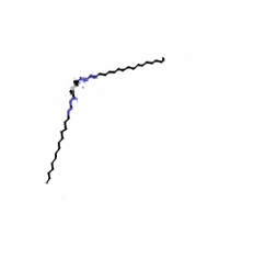 CC(/C=C/CCCCCCCCCCCCCCC(=O)O)=C(/C)C(=O)OC(=O)/C(C)=C(C)/C=C/CCCCCCCCCCCCCCC(=O)O